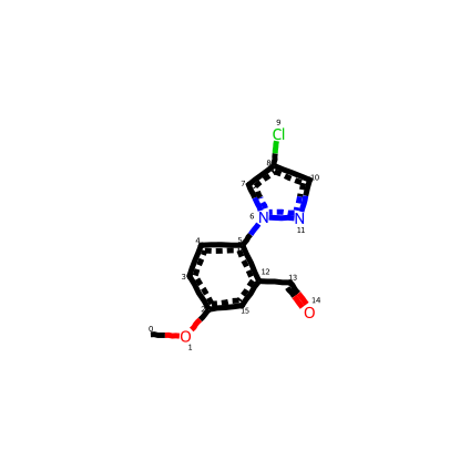 COc1ccc(-n2cc(Cl)cn2)c(C=O)c1